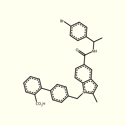 Cc1cc2cc(C(=O)NC(C)c3ccc(Br)cc3)ccc2n1Cc1ccc(-c2ccccc2C(=O)O)cc1